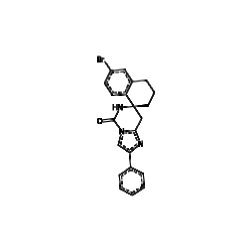 O=C1N[C@@]2(CCCc3cc(Br)ccc32)Cc2nc(-c3ccccc3)cn21